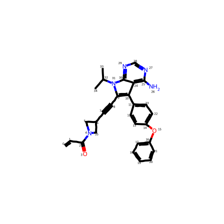 C=CC(=O)N1CC(C#Cc2c(-c3ccc(Oc4ccccc4)cc3)c3c(N)ncnc3n2C(C)C)C1